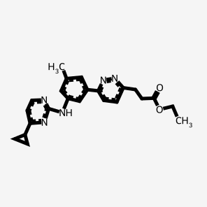 CCOC(=O)CCc1ccc(-c2cc(C)cc(Nc3nccc(C4CC4)n3)c2)nn1